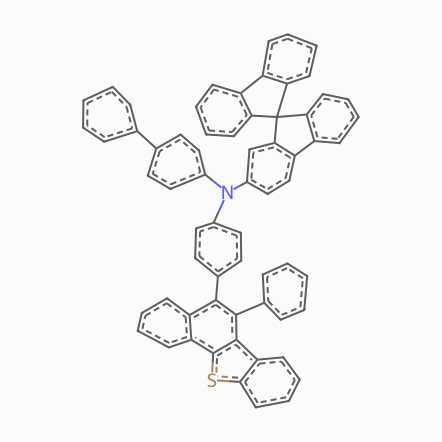 c1ccc(-c2ccc(N(c3ccc(-c4c(-c5ccccc5)c5c6ccccc6sc5c5ccccc45)cc3)c3ccc4c(c3)C3(c5ccccc5-c5ccccc53)c3ccccc3-4)cc2)cc1